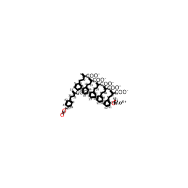 C=C(CCc1ccccc1)C(=O)[O-].C=C(CCc1ccccc1)C(=O)[O-].C=C(CCc1ccccc1)C(=O)[O-].C=C(CCc1ccccc1)C(=O)[O-].C=C(CCc1ccccc1)C(=O)[O-].C=C(CCc1ccccc1)C(=O)[O-].[C]=O.[C]=O.[C]=O.[Mo+6]